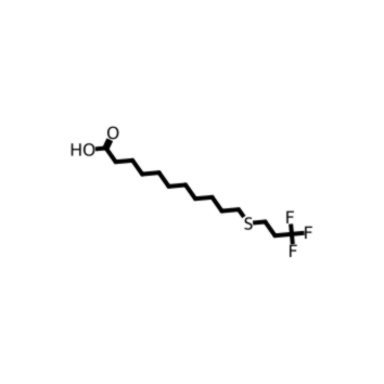 O=C(O)CCCCCCCCCCSCCC(F)(F)F